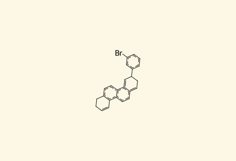 Brc1cccc(C2C=c3c(ccc4c5c(ccc34)CCC=C5)=CC2)c1